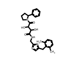 Cc1cccc(C)c1Cc1csc(CNC(=O)C(O)C(O)C(=O)N2CCCC2c2ccccc2)n1